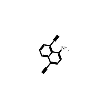 C#Cc1ccc(N)c2c(C#C)cccc12